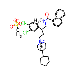 CN(CC(CC[N+]12CCC(C3CCCCC3)(CC1)CC2)c1ccc(Cl)c(Cl)c1)C(=O)c1cccc2ccccc12.CS(=O)(=O)[O-]